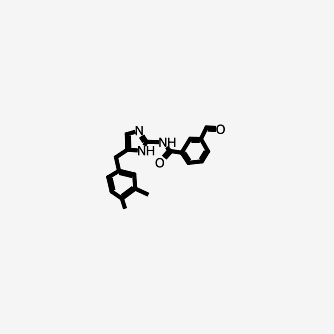 Cc1ccc(Cc2cnc(NC(=O)c3cccc(C=O)c3)[nH]2)cc1C